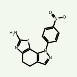 Nc1nc2c(s1)-c1c(cnn1-c1ccc([N+](=O)[O-])cc1)CC2